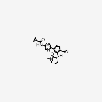 CC[C@@H](Nc1cc(-c2cnc(NC(=O)C3CC3)cn2)ccc1C#N)C(=O)N(C)C